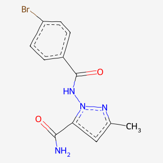 Cc1cc(C(N)=O)n(NC(=O)c2ccc(Br)cc2)n1